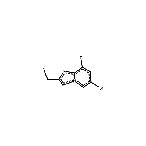 FCc1cn2cc(Br)cc(F)c2n1